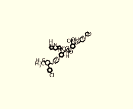 CC1(C)CCC(CN2CCN(c3ccc(C(=O)NS(=O)(=O)c4ccc(OCC5CCN(C6CCOC6)CC5)c(C(=O)O)c4)c(-n4ncc5nc6[nH]ccc6cc54)c3)CC2)=C(c2ccc(Cl)cc2)C1